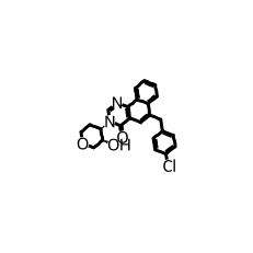 O=c1c2cc(Cc3ccc(Cl)cc3)c3ccccc3c2ncn1[C@H]1CCOC[C@@H]1O